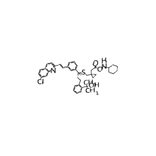 CC(C)(O)c1ccccc1CC[C@@H](SCC1(CC(=O)ONC2CCCCC2)CC1)c1cccc(C=Cc2ccc3ccc(Cl)cc3n2)c1